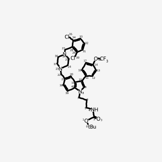 CC(C)(C)OC(=O)NCCCn1cc(-c2ccc(OC(F)(F)F)cc2)c2cc(CN3CCN(Cc4c(Cl)cccc4Cl)CC3)ccc21